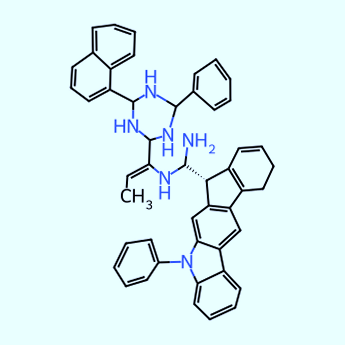 C/C=C(\NC(N)[C@@H]1C2=C(CCC=C2)c2cc3c4ccccc4n(-c4ccccc4)c3cc21)C1NC(c2ccccc2)NC(c2cccc3ccccc23)N1